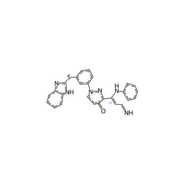 N=C/C=C(\Nc1ccccc1)c1nn(-c2cccc(Sc3nc4ccccc4[nH]3)c2)ccc1=O